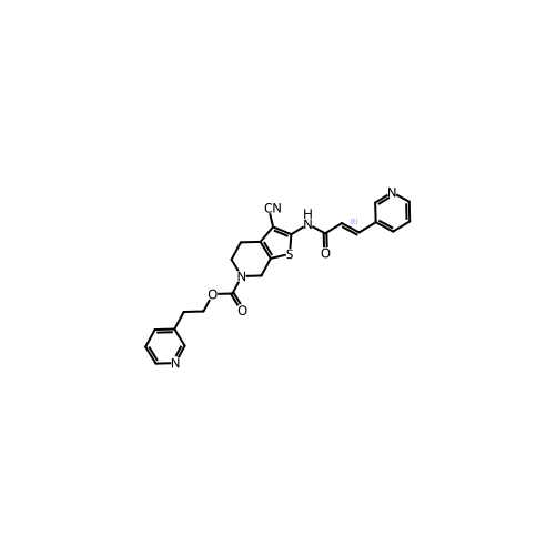 N#Cc1c(NC(=O)/C=C/c2cccnc2)sc2c1CCN(C(=O)OCCc1cccnc1)C2